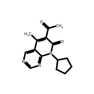 CC(=O)c1c(C)c2cncnc2n(C2CCCC2)c1=O